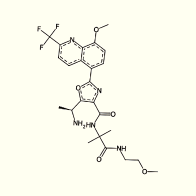 COCCNC(=O)C(C)(C)NC(=O)c1nc(-c2ccc(OC)c3nc(C(F)(F)F)ccc23)oc1[C@H](C)N